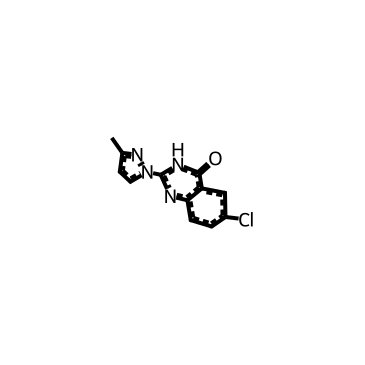 Cc1ccn(-c2nc3ccc(Cl)cc3c(=O)[nH]2)n1